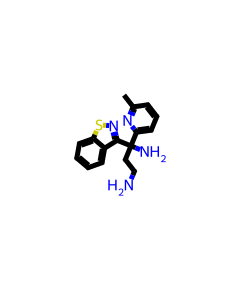 Cc1cccc(C(N)(CCN)c2nsc3ccccc23)n1